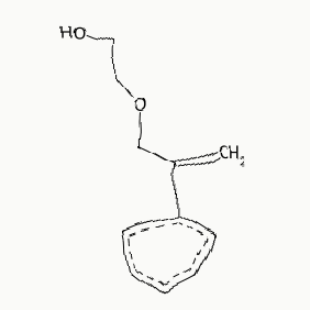 C=C(COCCO)c1ccccc1